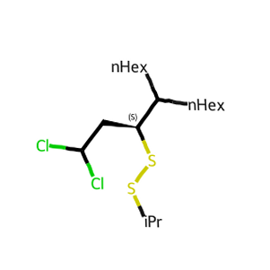 CCCCCCC(CCCCCC)[C@H](CC(Cl)Cl)SSC(C)C